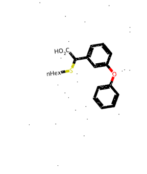 CCCCCCSC(C(=O)O)c1cccc(Oc2ccccc2)c1